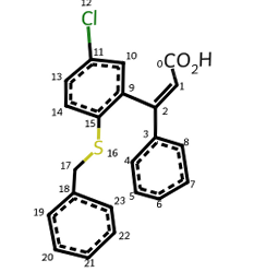 O=C(O)C=C(c1ccccc1)c1cc(Cl)ccc1SCc1ccccc1